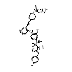 O=C(O)NC1CC=C(C#Cc2cnccc2Oc2ccc(NC(=O)NC(=O)Cc3ccc(F)cc3)cc2F)CC1